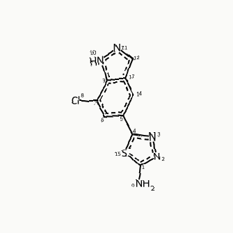 Nc1nnc(-c2cc(Cl)c3[nH]ncc3c2)s1